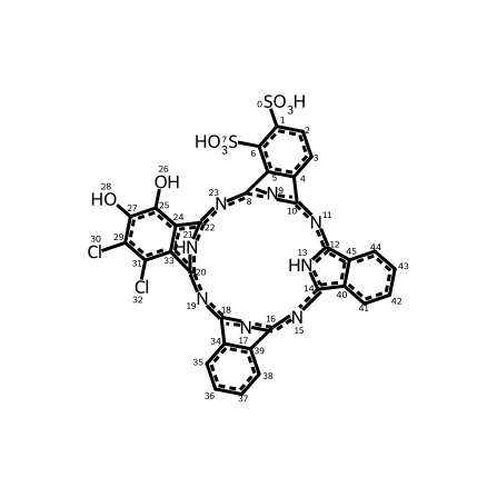 O=S(=O)(O)c1ccc2c(c1S(=O)(=O)O)-c1nc-2nc2[nH]c(nc3nc(nc4[nH]c(n1)c1c(O)c(O)c(Cl)c(Cl)c41)-c1ccccc1-3)c1ccccc21